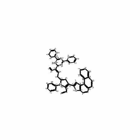 C=CC1=C(c2cc3c(ccc4ccc5ccccc5c43)s2)CC(C/C=C(\C=C)C2N=C(c3ccccn3)N=C(C3=NC=CCC3)N2)N1c1ccccc1